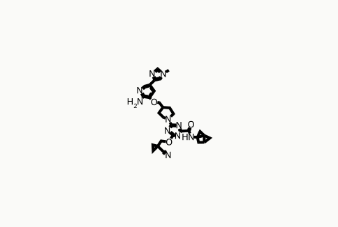 Cn1cnc(-c2cnc(N)c(OCC3CCN(c4nc(OCC5(C#N)CC5)nc(C(=O)NC56CC7CC75C6)n4)CC3)c2)c1